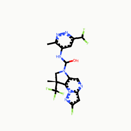 Cc1nnc(C(F)F)cc1NC(O)N1C[C@@](C)(C(F)(F)F)c2c1cnc1cc(F)nn21